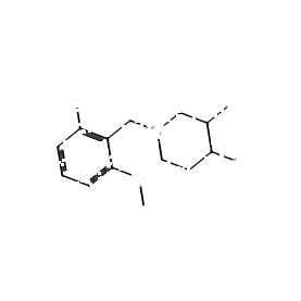 COc1cccc(F)c1CN1CCC(F)C(C)C1